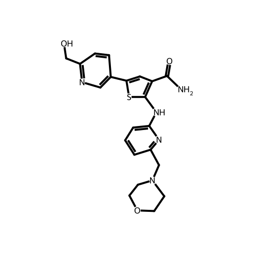 NC(=O)c1cc(-c2ccc(CO)nc2)sc1Nc1cccc(CN2CCOCC2)n1